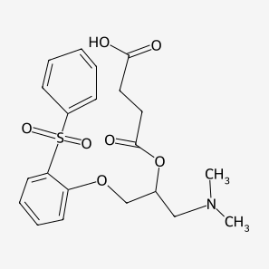 CN(C)CC(COc1ccccc1S(=O)(=O)c1ccccc1)OC(=O)CCC(=O)O